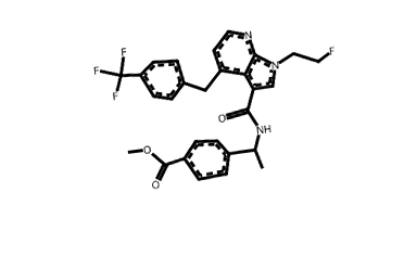 COC(=O)c1ccc(C(C)NC(=O)c2cn(CCF)c3nccc(Cc4ccc(C(F)(F)F)cc4)c23)cc1